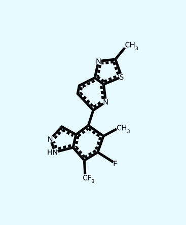 Cc1nc2ccc(-c3c(C)c(F)c(C(F)(F)F)c4[nH]ncc34)nc2s1